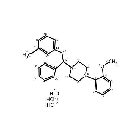 COc1ccccc1N1CCN(C(Cc2cccc(C)c2)c2ccccc2)CC1.Cl.Cl.O